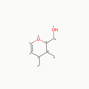 CC1C=COC(CO)C1C